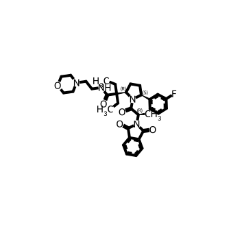 CCC(CC)(C(=O)NCCN1CCOCC1)[C@H]1CC[C@@H](c2cccc(F)c2)N1C(=O)[C@@H](C)N1C(=O)c2ccccc2C1=O